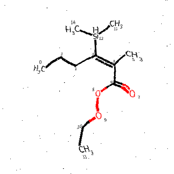 CCCC(=C(C)C(=O)OOCC)[SiH](C)C